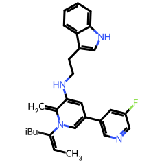 C=C1C(NCCc2c[nH]c3ccccc23)=CC(c2cncc(F)c2)=CN1/C(=C\C)C(C)CC